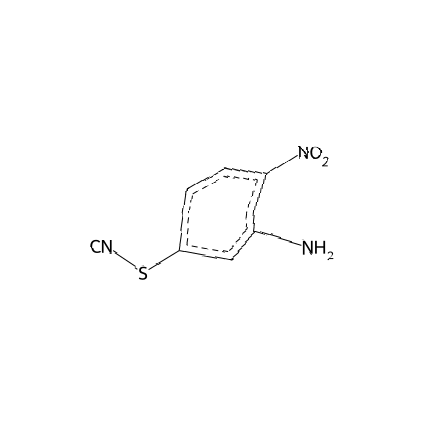 [C-]#[N+]Sc1ccc([N+](=O)[O-])c(N)c1